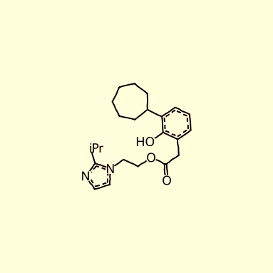 CC(C)c1nccn1CCOC(=O)Cc1cccc(C2CCCCCC2)c1O